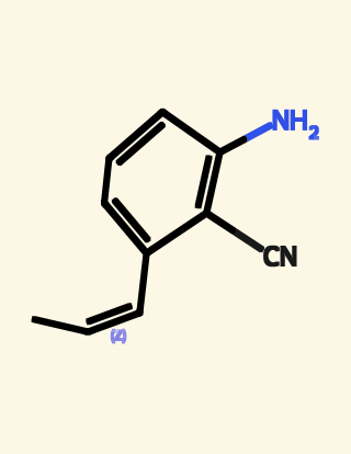 C/C=C\c1cccc(N)c1C#N